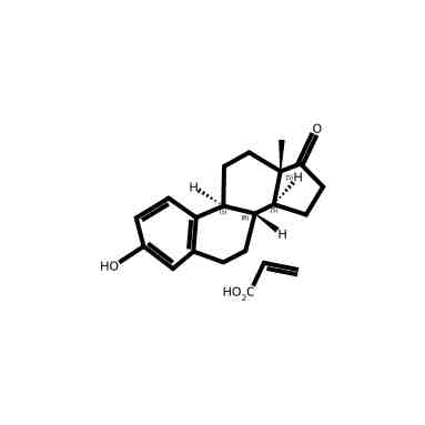 C=CC(=O)O.C[C@]12CC[C@@H]3c4ccc(O)cc4CC[C@H]3[C@@H]1CCC2=O